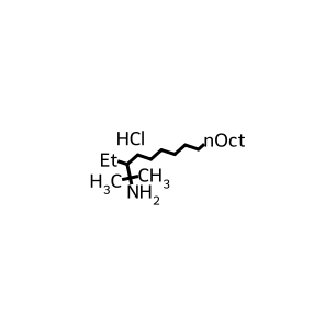 CCCCCCCCCCCCCCC(CC)C(C)(C)N.Cl